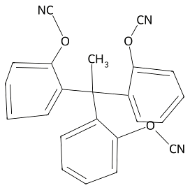 CC(c1ccccc1OC#N)(c1ccccc1OC#N)c1ccccc1OC#N